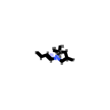 CC/C=C/N1CC(C)C[Si]1(C)C